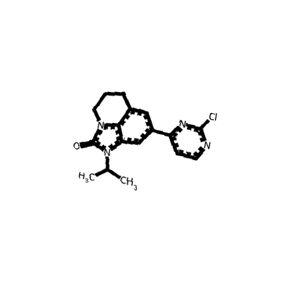 CC(C)n1c(=O)n2c3c(cc(-c4ccnc(Cl)n4)cc31)CCC2